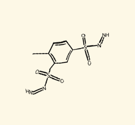 Cc1ccc(S(=O)(=O)N=N)cc1S(=O)(=O)N=N